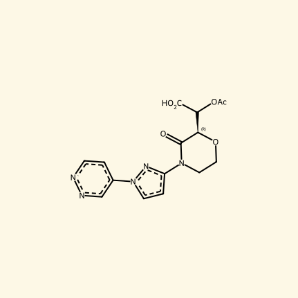 CC(=O)OC(C(=O)O)[C@H]1OCCN(c2ccn(-c3ccnnc3)n2)C1=O